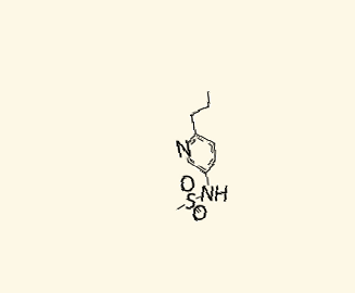 CCCc1ccc(NS(C)(=O)=O)cn1